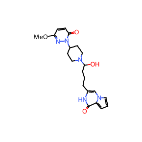 COc1ccc(=O)n(C2CCN(C(O)CCCc3cn4cccc4c(=O)[nH]3)CC2)n1